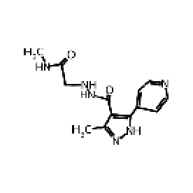 CNC(=O)CNNC(=O)c1c(C)n[nH]c1-c1ccncc1